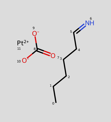 CCCCCC=N.O=C([O-])[O-].[Pt+2]